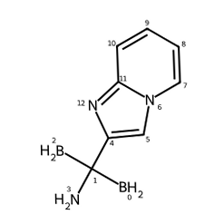 BC(B)(N)c1cn2ccccc2n1